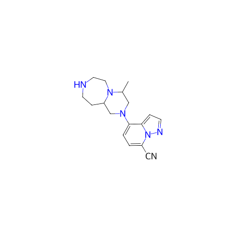 CC1CN(c2ccc(C#N)n3nccc23)CC2CCNCCN12